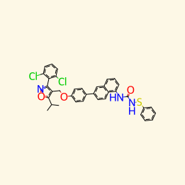 CC(C)c1onc(-c2c(Cl)cccc2Cl)c1COc1ccc(-c2ccc3c(NC(=O)NSc4ccccc4)cccc3c2)cc1